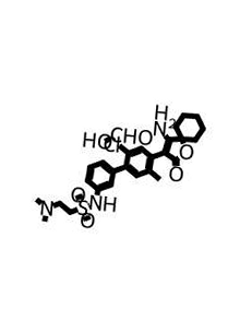 Cc1cc(-c2cccc(NS(=O)(=O)CCN(C)C)c2)c(Cl)cc1C1=C(N)C2(CCCCC2)OC1=O.O=CO